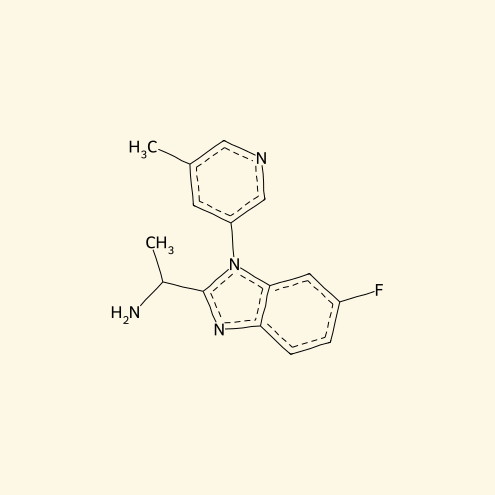 Cc1cncc(-n2c(C(C)N)nc3ccc(F)cc32)c1